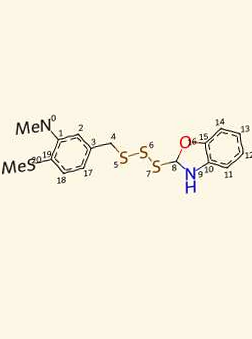 CNc1cc(CSSSC2Nc3ccccc3O2)ccc1SC